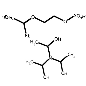 CC(O)N(C(C)O)C(C)O.CCCCCCCCCCC(CC)OCCOS(=O)(=O)O